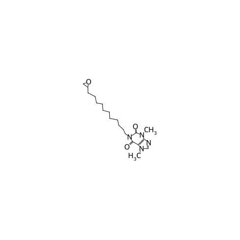 Cn1cnc2c1c(=O)n(CCCCCCCCCCCC1CO1)c(=O)n2C